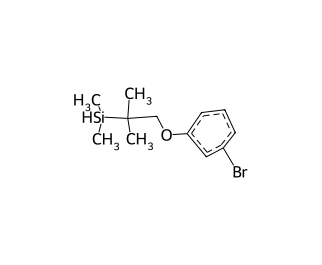 C[SiH](C)C(C)(C)COc1cccc(Br)c1